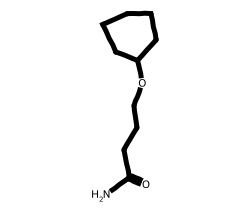 NC(=O)CCCOC1CCCCC1